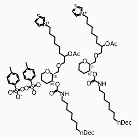 CCCCCCCCCCCCCCCCCNC(=O)O[C@@H]1CCCO[C@H]1COCC(CCCCCC[n+]1ccsc1)OC(C)=O.CCCCCCCCCCCCCCCCCNC(=O)O[C@@H]1CCCO[C@H]1COCC(CCCCCC[n+]1ccsc1)OC(C)=O.Cc1ccc(S(=O)(=O)[O-])cc1.Cc1ccc(S(=O)(=O)[O-])cc1